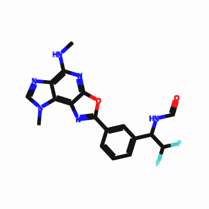 CNc1nc2oc(-c3cccc(C(NC=O)C(F)F)c3)nc2c2c1ncn2C